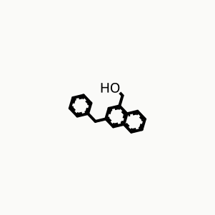 OCc1cc(Cc2ccccc2)cc2ccccc12